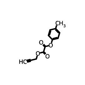 C#CCOC(=O)C(=O)Oc1ccc(C)cc1